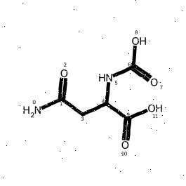 NC(=O)CC(NC(=O)O)C(=O)O